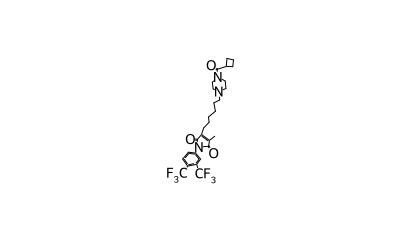 CC1=C(CCCCCCN2CCN(C(=O)C3CCC3)CC2)C(=O)N(c2ccc(C(F)(F)F)c(C(F)(F)F)c2)C1=O